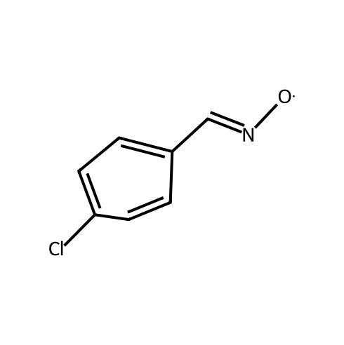 [O]N=Cc1ccc(Cl)cc1